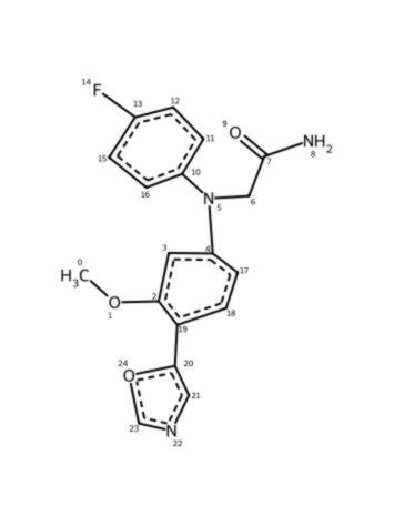 COc1cc(N(CC(N)=O)c2ccc(F)cc2)ccc1-c1cnco1